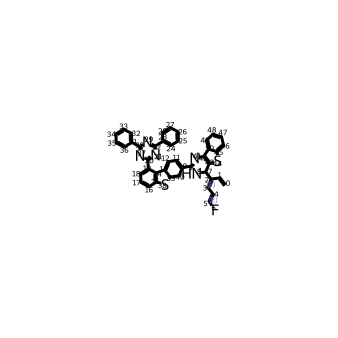 C=C/C(=C\C=C\F)C1NC(C2=CC=C3c4c(cccc4-c4nc(-c5ccccc5)nc(-c5ccccc5)n4)SC3C2)=Nc2c1sc1ccccc21